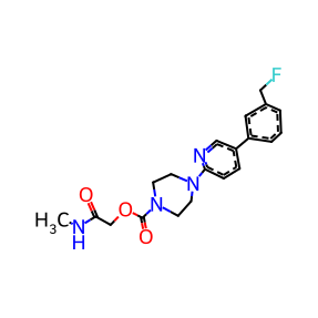 CNC(=O)COC(=O)N1CCN(c2ccc(-c3cccc(CF)c3)cn2)CC1